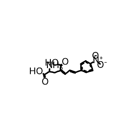 NC(CC(=CC=Cc1ccc([N+](=O)[O-])cc1)C(=O)O)C(=O)O